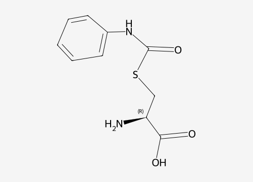 N[C@@H](CSC(=O)Nc1ccccc1)C(=O)O